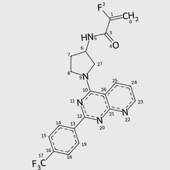 C=C(F)C(=O)NC1CCN(c2nc(-c3ccc(C(F)(F)F)cc3)nc3ncccc23)C1